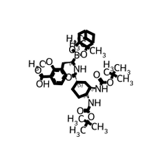 COc1c(C[C@H](NC(=O)[C@H]2CC[C@@H](NC(=O)OC(C)(C)C)[C@H](NC(=O)OC(C)(C)C)C2)B2OC3CC4CC(C4(C)C)C3(C)O2)cccc1C(=O)O